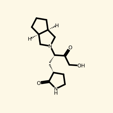 O=C1NCC[C@H]1C[C@@H](C(=O)CO)N1C[C@H]2CCC[C@H]2C1